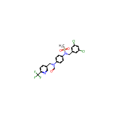 CS(=O)(=O)N(Cc1cc(Cl)cc(Cl)c1)c1ccc(N(C=O)Cc2ccc(C(F)(F)F)nc2)cc1